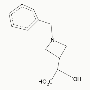 O=C(O)C(O)C1CN(Cc2ccccc2)C1